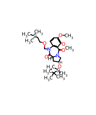 COc1ccc2c(c1OC)C(=O)N1C[C@H](O[Si](C)(C)C(C)(C)C)C[C@H]1C(=O)N2COCC[Si](C)(C)C